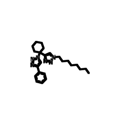 CCCCCCCCn1cc(C2(n3cc(-c4ccccc4)nn3)CCCCC2)nn1